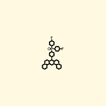 O=P(c1ccc(F)cc1)(c1ccc(F)cc1)c1ccc(-c2c3ccc4ccccc4c3cc3c2ccc2ccccc23)cc1